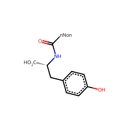 CCCCCCCCCC(=O)N[C@H](Cc1ccc(O)cc1)C(=O)O